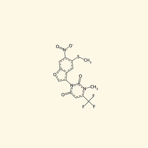 CSc1cc2c(-n3c(=O)cc(C(F)(F)F)n(C)c3=O)coc2cc1[N+](=O)[O-]